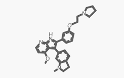 COc1ccnc2[nH]c(-c3cccc(OCCN4CCCC4)c3)c(-c3ccc4c(c3)N(C)CC4)c12